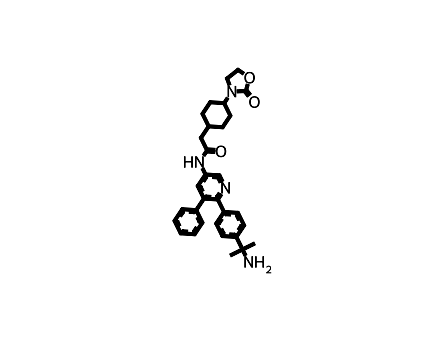 CC(C)(N)c1ccc(-c2ncc(NC(=O)CC3CCC(N4CCOC4=O)CC3)cc2-c2ccccc2)cc1